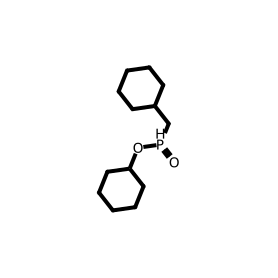 O=[PH](CC1CCCCC1)OC1CCCCC1